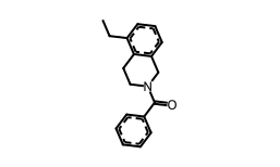 CCc1cccc2c1CCN(C(=O)c1ccccc1)C2